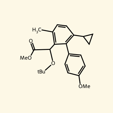 COC(=O)C(OC(C)(C)C)c1c(C)ccc(C2CC2)c1-c1ccc(OC)cc1